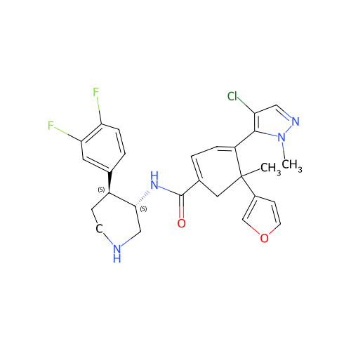 Cn1ncc(Cl)c1C1=CC=C(C(=O)N[C@@H]2CNCC[C@H]2c2ccc(F)c(F)c2)CC1(C)c1ccoc1